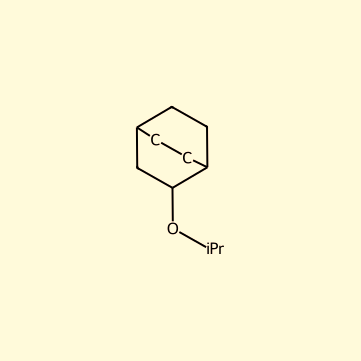 CC(C)OC1CC2CCC1CC2